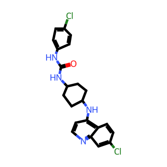 O=C(Nc1ccc(Cl)cc1)NC1CCC(Nc2ccnc3cc(Cl)ccc23)CC1